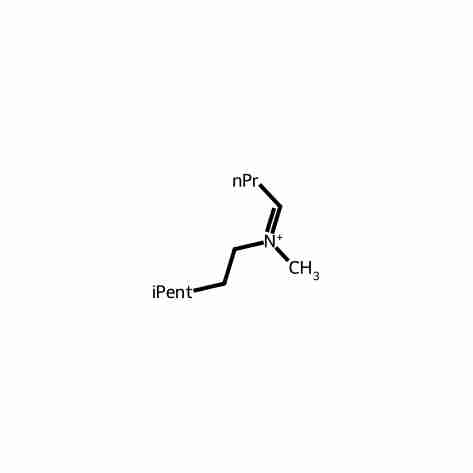 CCC/C=[N+](/C)CCC(C)CCC